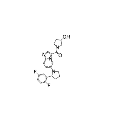 O=C(c1cnc2ccc(N3CCCC3c3cc(F)ccc3F)cn12)N1CCC(O)C1